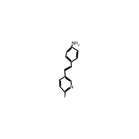 Nc1ccc(C=Cc2ccc(F)nc2)cc1